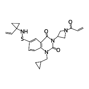 C=CC(=O)N1CC(n2c(=O)c3cc(SNC4(C=C)CC4)ccc3n(CC3CC3)c2=O)C1